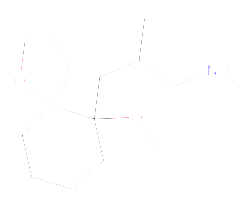 COC1(CC(C)CN)CCCC[Si]1(OC)OC